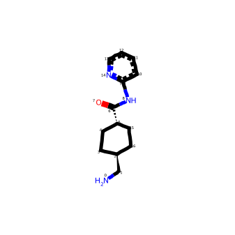 NC[C@H]1CC[C@H](C(=O)Nc2ccccn2)CC1